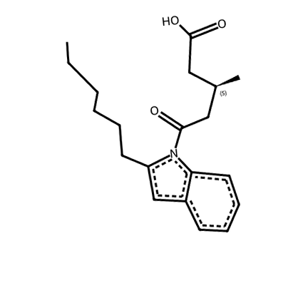 CCCCCCc1cc2ccccc2n1C(=O)C[C@H](C)CC(=O)O